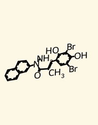 CC(=Cc1cc(Br)c(O)c(Br)c1O)C(=O)N(N)c1ccc2ccccc2c1